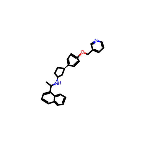 CC(N[C@H]1CC[C@@H](c2ccc(OCc3cccnc3)cc2)C1)c1cccc2ccccc12